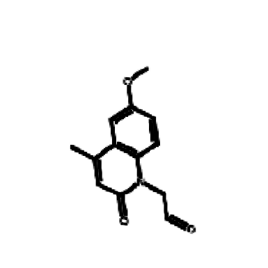 COc1ccc2c(c1)c(C)cc(=O)n2CC=O